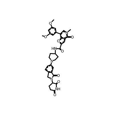 COc1cc(OC)cc(-c2cn(C)c(=O)c3cc(C(=O)NC4CCN(c5ccc6c(c5)C(=O)N(C5CCC(=O)NC5=O)C6)CC4)oc23)c1